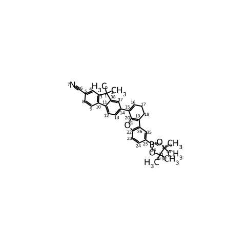 CC1(C)c2cc(C#N)ccc2-c2ccc(C3=CCCc4c3oc3ccc(B5OC(C)(C)C(C)(C)O5)cc43)cc21